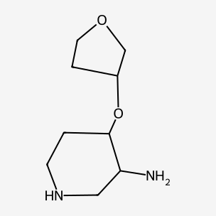 NC1CNCCC1OC1CCOC1